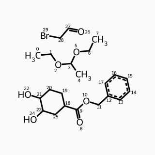 CCOC(C)OCC.O=C(OCc1ccccc1)C1CCC(O)C(O)C1.O=CCBr